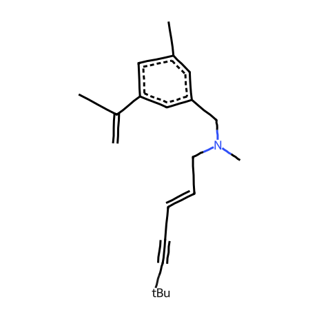 C=C(C)c1cc(C)cc(CN(C)C/C=C/C#CC(C)(C)C)c1